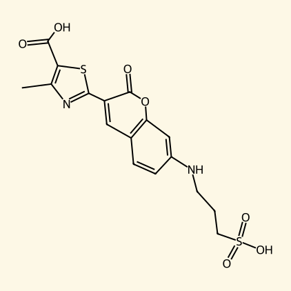 Cc1nc(-c2cc3ccc(NCCCS(=O)(=O)O)cc3oc2=O)sc1C(=O)O